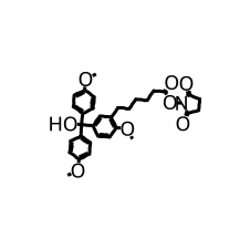 COc1ccc(C(O)(c2ccc(OC)cc2)c2ccc(OC)c(CCCCCC(=O)ON3C(=O)CCC3=O)c2)cc1